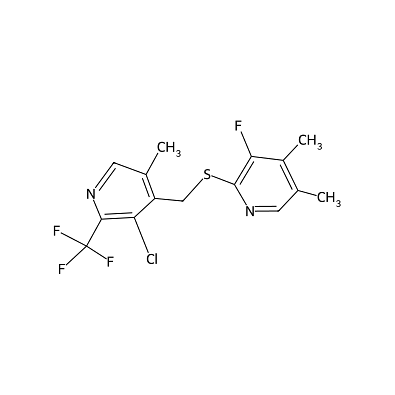 Cc1cnc(SCc2c(C)cnc(C(F)(F)F)c2Cl)c(F)c1C